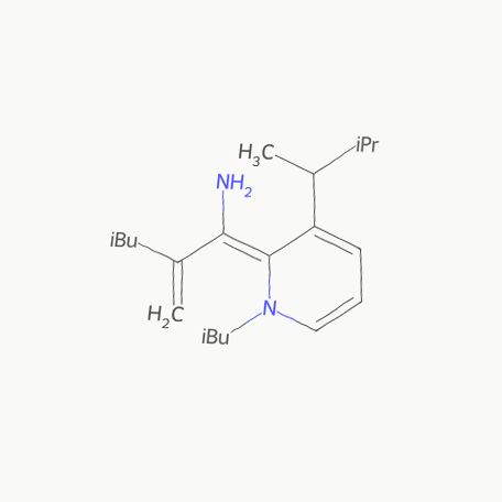 C=C(/C(N)=C1/C(C(C)C(C)C)=CC=CN1C(C)CC)C(C)CC